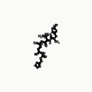 CCC(CCC(CC)NC(=O)C(NC(=O)N(C)Cc1csc(C(C)C)n1)C(C)O)NC(=O)OCc1cncs1